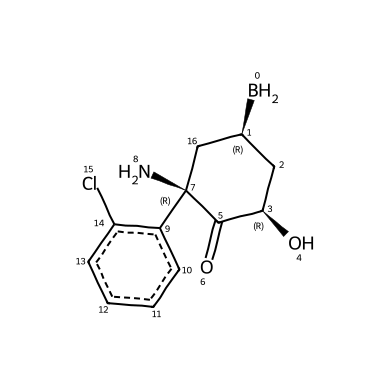 B[C@H]1C[C@@H](O)C(=O)[C@](N)(c2ccccc2Cl)C1